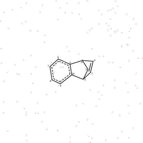 C1=CC2C[C]1c1ccccc12